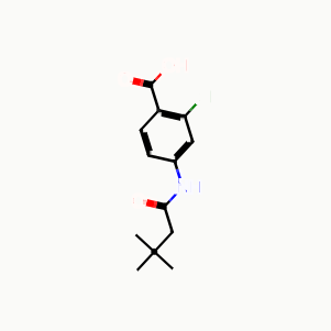 CC(C)(C)CC(=O)Nc1ccc(C(=O)O)c(Cl)c1